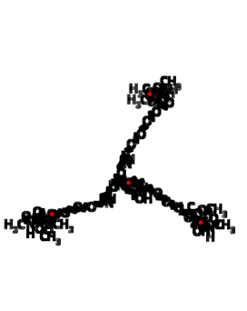 CC(=O)N[C@H]1[C@H]2OC[C@@](COCCOCCOCCOCCn3cc(COCC(COCc4cn(CCOCCOCCOCCOC[C@]56CO[C@@H](O5)[C@H](NC(C)=O)[C@@H](OC(C)=O)[C@H]6OC(C)=O)nn4)(COCc4cn(CCOCCOCCOCCOC[C@@]56CO[C@@H](O5)[C@H](NC(C)=O)[C@H](OC(C)=O)[C@H]6OC(C)=O)nn4)NC(=O)CCCO)nn3)(O2)[C@H](OC(C)=O)[C@@H]1OC(C)=O